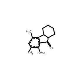 COc1c(C)cc(C)c2c1C(=O)C1CCCCC21